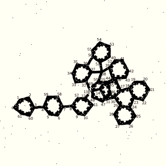 c1ccc(-c2ccc(-c3cccc(N(c4ccc5c6ccccc6c6ccccc6c5c4)c4cccc5c4C4(c6ccccc6-c6ccccc64)c4ccccc4-5)c3)cc2)cc1